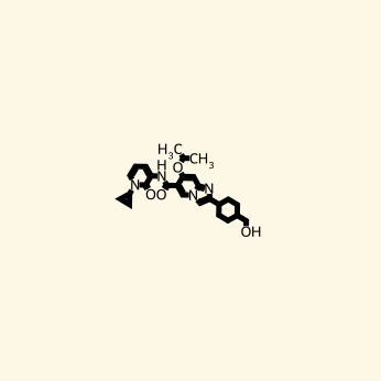 CC(C)Oc1cc2nc(C3CCC(CO)CC3)cn2cc1C(=O)Nc1cccn(C2CC2)c1=O